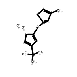 CC1=CC[C]([Zr+2][C]2=CC(C(C)(C)C)=CC2)=C1.[Cl-].[Cl-]